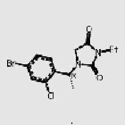 CCN1C(=O)CN([C@H](C)c2ccc(Br)cc2Cl)C1=O